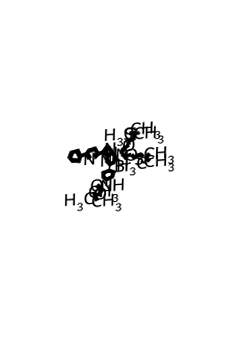 CC(C)(C)OC(=O)N[C@H]1CC[C@@H](c2nc3c(-c4ccc(-c5ccccc5)nc4)cnn3c(N(COCC[Si](C)(C)C)COCC[Si](C)(C)C)c2Br)CC1